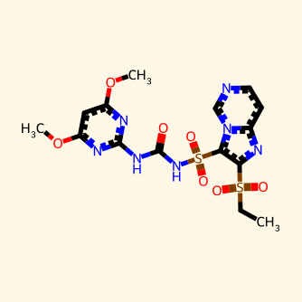 CCS(=O)(=O)c1nc2ccncn2c1S(=O)(=O)NC(=O)Nc1nc(OC)cc(OC)n1